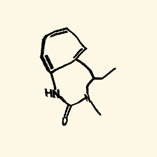 CC1c2ccccc2NC(=O)N1C